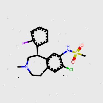 CN1CCc2cc(Cl)c(NS(C)(=O)=O)cc2[C@H](c2ccccc2I)C1